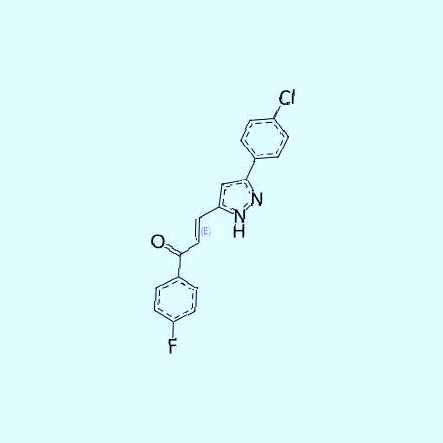 O=C(/C=C/c1cc(-c2ccc(Cl)cc2)n[nH]1)c1ccc(F)cc1